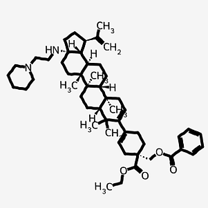 C=C(C)[C@@H]1CC[C@]2(NCCN3CCCCC3)CC[C@]3(C)[C@H](CC[C@@H]4[C@@]5(C)CC=C(C6=CC[C@](COC(=O)c7ccccc7)(C(=O)OCC)CC6)C(C)(C)[C@@H]5CC[C@]43C)[C@@H]12